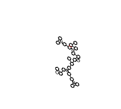 c1ccc(-c2cc(-c3ccc(N(c4ccc(-c5ccc(-n6c7ccccc7c7ccccc76)cc5)cc4)c4cccc(-c5cccc6oc7ccccc7c56)c4)cc3)ccc2-c2ccc3c(c2)oc2cccc(-c4cccc(N(c5ccc(-c6ccc(-n7c8ccccc8c8ccccc87)cc6)cc5)c5ccccc5-c5ccccc5-c5ccccc5)c4)c23)cc1